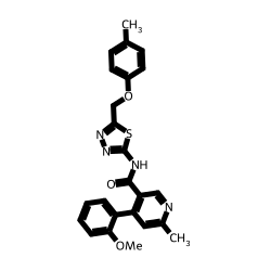 COc1ccccc1-c1cc(C)ncc1C(=O)Nc1nnc(COc2ccc(C)cc2)s1